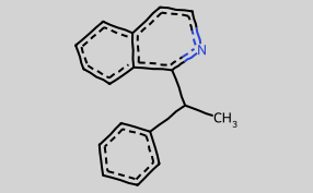 CC(c1ccccc1)c1nccc2ccccc12